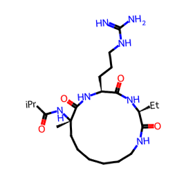 CC[C@@H]1NC(=O)[C@H](CCCNC(=N)N)NC(=O)[C@@](C)(NC(=O)C(C)C)CCCCCCNC1=O